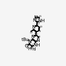 [2H]C1([2H])Nc2ncc(-c3ccc(-c4nnc[nH]4)nc3C)nc2N(C(C)(C)C)C1=O